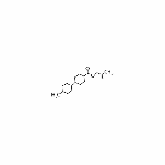 CC(F)COC(=O)C1CCC(C2CCC(C)CC2)CC1